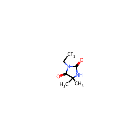 CC1(C)NC(=O)N(CC(F)(F)F)C1=O